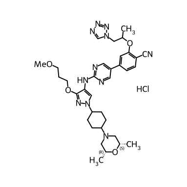 COCCCOc1nn(C2CCC(N3C[C@@H](C)O[C@@H](C)C3)CC2)cc1Nc1ncc(-c2ccc(C#N)c(OC(C)Cn3cnnn3)c2)cn1.Cl